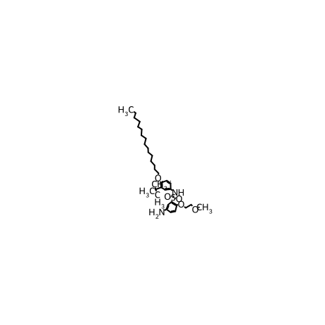 CCCCCCCCCCCCCCCCOc1c[c]c(NS(=O)(=O)c2cc(N)ccc2OCCOC)cc1C(C)(C)C